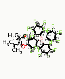 C[CH](C)[Al]([O]c1c(F)c(F)c([B-](c2c(F)c(F)c(F)c(F)c2F)(c2c(F)c(F)c(F)c(F)c2F)c2c(F)c(F)c(F)c(F)c2F)c(F)c1F)[CH](C)C